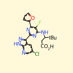 CC(C)(C)C(CC(=O)O)Nc1nc(-c2n[nH]c3ncc(Cl)cc23)nc(-c2ccco2)c1F